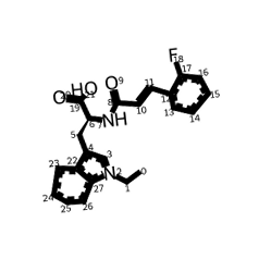 CCn1cc(C[C@H](NC(=O)/C=C/c2ccccc2F)C(=O)O)c2ccccc21